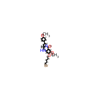 COc1ccc(C2=CN3C(=O)c4cc(OC)c(OCCCCCBr)cc4NC[C@@H]3C2)cc1